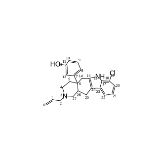 C=CCN1CCC2(c3cccc(O)c3)Cc3[nH]c4c(Cl)cccc4c3CC2C1